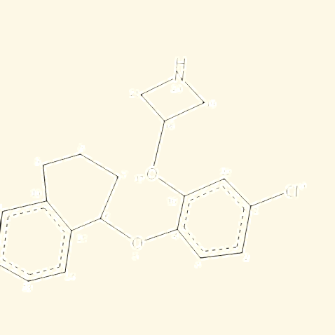 Clc1ccc(OC2CCCc3ccccc32)c(OC2CNC2)c1